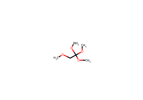 COCC(OC)(OC)[O][AlH2]